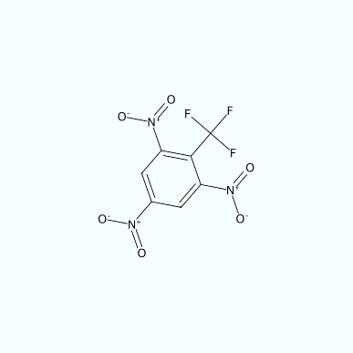 O=[N+]([O-])c1cc([N+](=O)[O-])c(C(F)(F)F)c([N+](=O)[O-])c1